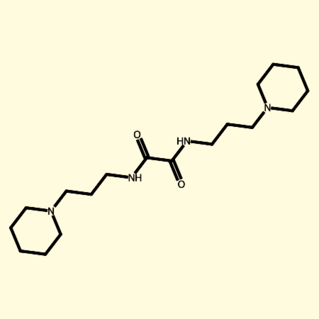 O=C(NCCCN1CCCCC1)C(=O)NCCCN1CCCCC1